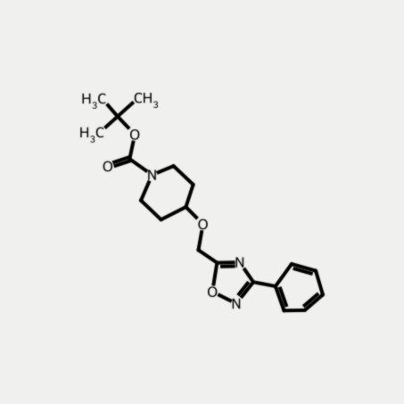 CC(C)(C)OC(=O)N1CCC(OCc2nc(-c3ccccc3)no2)CC1